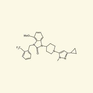 COc1cccc2c1n(Cc1ccccc1C(F)(F)F)c(=O)n2C1CCN(c2cc(C3CC3)nn2C)CC1